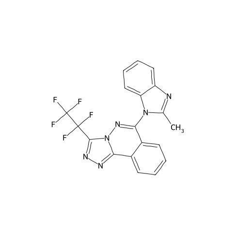 Cc1nc2ccccc2n1-c1nn2c(C(F)(F)C(F)(F)F)nnc2c2ccccc12